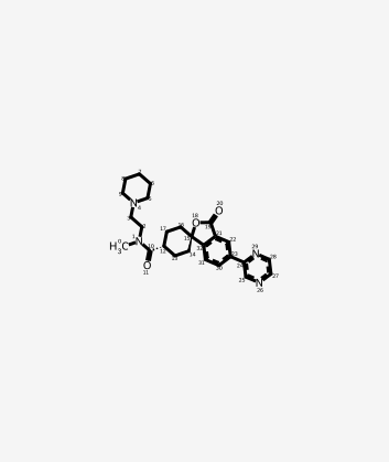 CN(CCN1CCCCC1)C(=O)[C@H]1CC[C@@]2(CC1)OC(=O)c1cc(-c3cnccn3)ccc12